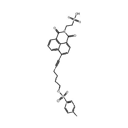 Cc1ccc(S(=O)(=O)OCCCCC#Cc2ccc3c4c(cccc24)C(=O)N(CCS(=O)(=O)O)C3=O)cc1